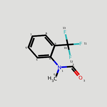 CN([C]=O)c1ccccc1C(F)(F)F